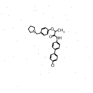 CC(Oc1ccc(CN2CCCC2)cc1)C(=O)Nc1ccc(-c2ccc(Cl)cc2)cc1